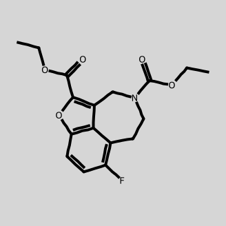 CCOC(=O)c1oc2ccc(F)c3c2c1CN(C(=O)OCC)CC3